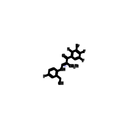 CCOC(=O)/C(=C\Nc1ccc(F)cc1CO)C(=O)c1cc(F)c(F)c(Br)c1F